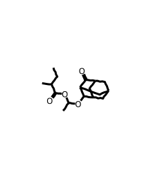 CCC(C)C(=O)OC(C)OC1C2CC3CC(C2)C(=O)C1C3